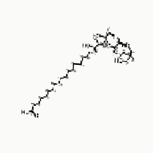 C=C(C)C(=O)O.C=C(C)C(=O)O.C=C(C)C(=O)O.CC(CO)(CO)CO.CCCCCCCCCCCCCCCCCC(=O)O